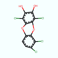 Oc1c(O)c(Cl)c2c(c1Cl)Oc1ccc(Cl)c(Cl)c1O2